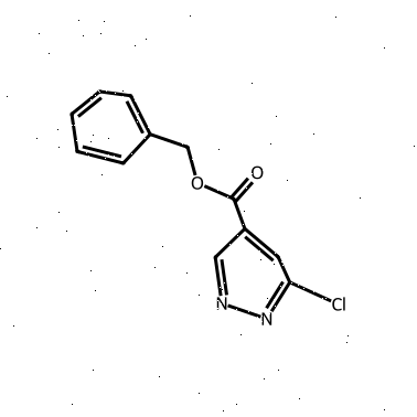 O=C(OCc1ccccc1)c1cnnc(Cl)c1